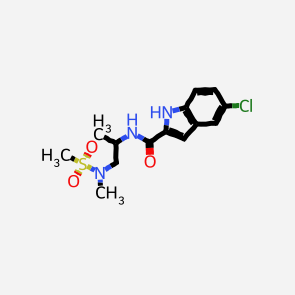 CC(CN(C)S(C)(=O)=O)NC(=O)c1cc2cc(Cl)ccc2[nH]1